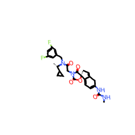 CNC(=O)NC1=CC=C2C(=CC[C@@]23OC(=O)N(CC(=O)N(Cc2cc(F)cc(F)c2)[C@@H](C)C2CC2)C3=O)C1